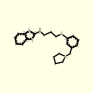 c1cc(CN2CCCC2)cc(OCCCNc2nc3ccccc3s2)c1